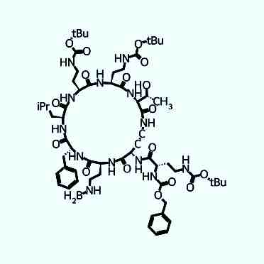 BNCC[C@@H]1NC(=O)[C@@H](NC(=O)[C@H](CCNC(=O)OC(C)(C)C)NC(=O)OCc2ccccc2)CCNC(=O)[C@H]([C@@H](C)O)NC(=O)[C@H](CCNC(=O)OC(C)(C)C)NC(=O)[C@H](CCNC(=O)OC(C)(C)C)NC(=O)[C@H](CC(C)C)NC(=O)[C@@H](Cc2ccccc2)NC1=O